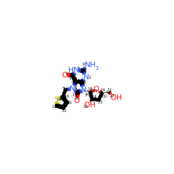 Nc1nc2c(c(=O)[nH]1)n(Cc1cccs1)c(=O)n2[C@@H]1O[C@H](CO)C[C@H]1O